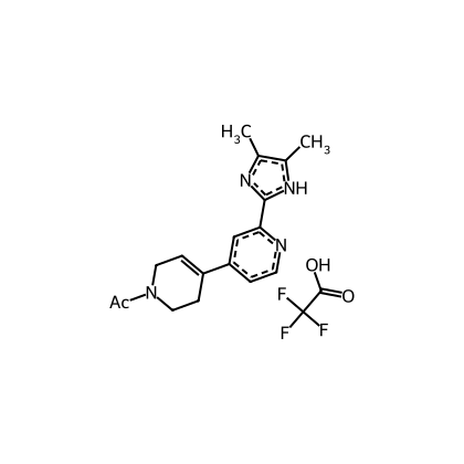 CC(=O)N1CC=C(c2ccnc(-c3nc(C)c(C)[nH]3)c2)CC1.O=C(O)C(F)(F)F